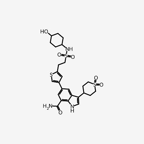 NC(=O)c1cc(-c2csc(CCS(=O)(=O)NC3CCC(O)CC3)c2)cc2c(C3CCS(=O)(=O)CC3)c[nH]c12